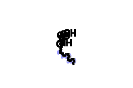 CC/C=C\C/C=C\C/C=C\C/C=C\C/C=C\CCCC(=O)Nc1ccc(O)c(C(=O)OC(C)O)c1